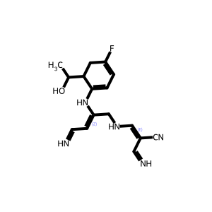 CC(O)C1CC(F)=CC=C1N/C(=C\C=N)CN/C=C(/C#N)C=N